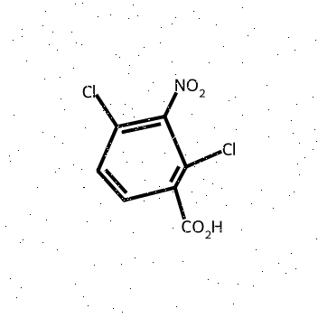 O=C(O)c1ccc(Cl)c([N+](=O)[O-])c1Cl